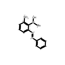 CCC(C)N(O)c1c(N=Nc2ccccc2)cccc1[N+](=O)[O-]